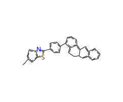 Cc1ccc2nc(-c3ccc(-c4cccc5c4=CCC4C=c6ccccc6=CC=54)cc3)sc2c1